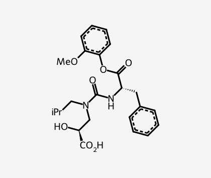 COc1ccccc1OC(=O)[C@H](Cc1ccccc1)NC(=O)N(CC(C)C)C[C@H](O)C(=O)O